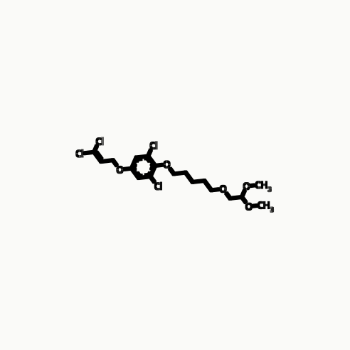 COC(COCCCCCOc1c(Cl)cc(OCC=C(Cl)Cl)cc1Cl)OC